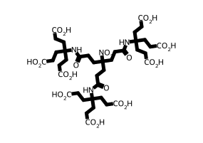 O=C(O)CCC(CCC(=O)O)(CCC(=O)O)NC(=O)CCC(CCC(=O)NC(CCC(=O)O)(CCC(=O)O)CCC(=O)O)(CCC(=O)NC(CCC(=O)O)(CCC(=O)O)CCC(=O)O)[N+](=O)[O-]